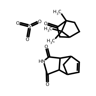 CC12CCC(CC1=O)C2(C)C.O=C1NC(=O)C2C3C=CC(C3)C12.O=S(=O)=O